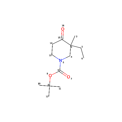 CCC1(C)CN(C(=O)OC(C)(C)C)CCC1=O